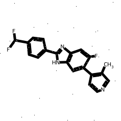 Cc1cnccc1-c1cc2[nH]c(-c3ccc(C(F)F)cc3)nc2cc1F